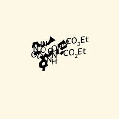 CCOC(=O)CC[C@H](NC(=O)c1cc(OCC(=O)N2CCC[C@H]2C(=O)NCC2CC2)c2ccc(C)cc2n1)C(=O)N1CCN(C(=O)OCC)CC1